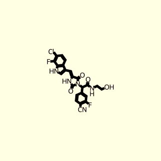 N#Cc1ccc(C(C(=O)NCCO)N2C(=O)NC(=Cc3c[nH]c4c(F)c(Cl)ccc34)C2=O)cc1F